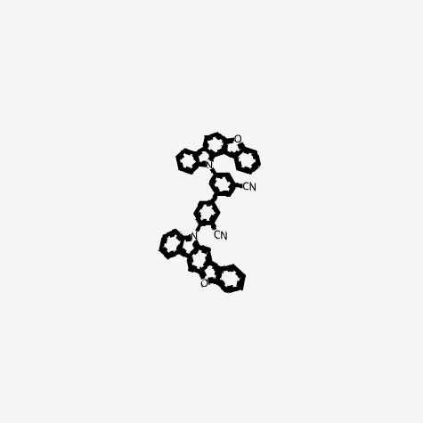 N#Cc1cc(-c2ccc(-n3c4ccccc4c4cc5oc6ccccc6c5cc43)c(C#N)c2)cc(-n2c3ccccc3c3ccc4oc5ccccc5c4c32)c1